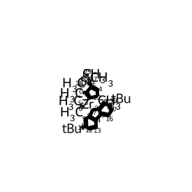 CC1=[C]([Zr](=[C](C)C)[CH]2c3cc(C(C)(C)C)ccc3-c3ccc(C(C)(C)C)cc32)C(C)C=C1[Si](C)(C)C